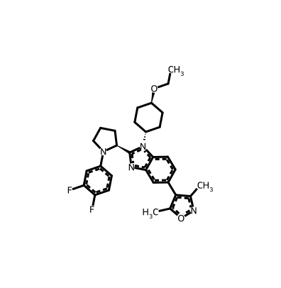 CCO[C@H]1CC[C@H](n2c([C@@H]3CCCN3c3ccc(F)c(F)c3)nc3cc(-c4c(C)noc4C)ccc32)CC1